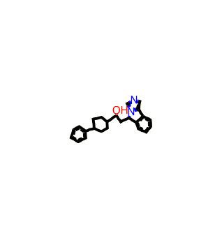 OC(CC1c2ccccc2-c2cncn21)C1CCC(c2ccccc2)CC1